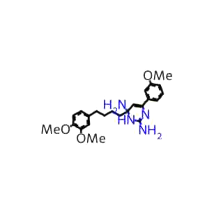 COc1cccc(C2=CC(N)(CCCCc3ccc(OC)c(OC)c3)NC(N)=N2)c1